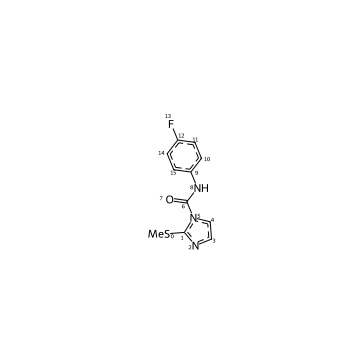 CSc1nccn1C(=O)Nc1ccc(F)cc1